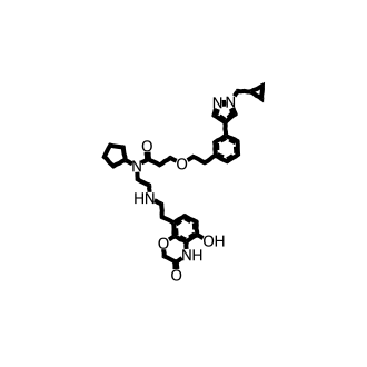 O=C1COc2c(CCNCCN(C(=O)CCOCCc3cccc(-c4cnn(CC5CC5)c4)c3)C3CCCC3)ccc(O)c2N1